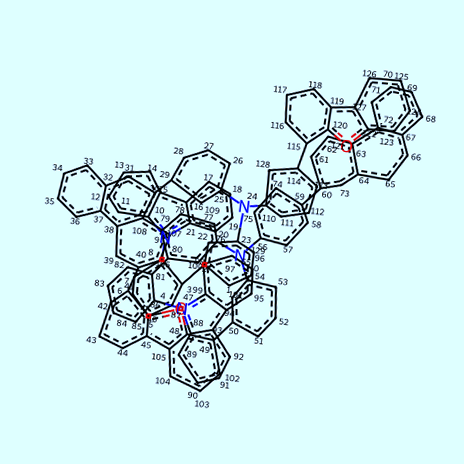 c1cc(-c2ccccc2-n2c3ccccc3c3ccccc32)cc(N(c2cccc(-c3cc4ccccc4c4cc(-c5cccc6c5oc5c(-c7cccc(N(c8ccc(-c9ccc%10c(ccc%11ccccc%11%10)c9)cc8)c8cccc(-c9ccccc9-n9c%10ccccc%10c%10ccccc%109)c8)c7)cccc56)ccc34)c2)c2cccc(-c3cccc4c3oc3ccccc34)c2)c1